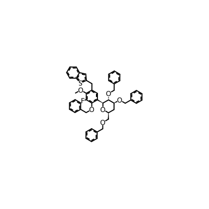 COc1c(Cc2cc3ccccc3s2)cc([C@@H]2O[C@H](COCc3ccccc3)C[C@H](OCc3ccccc3)[C@H]2OCc2ccccc2)c(OCc2ccccc2)c1F